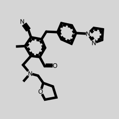 Cc1c(C#N)c(Cc2ccc(-n3cccn3)cc2)cc(C=O)c1CN(C)CC1CCCO1